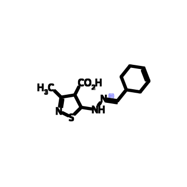 CC1=NSC(N/N=C/C2CC=CCC2)C1C(=O)O